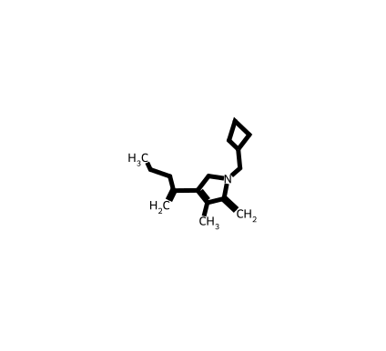 C=C(CCC)C1=C(C)C(=C)N(CC2CCC2)C1